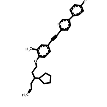 C=CC[C](CCOc1ccc(C#Cc2ccc(-c3ccc(Cl)cc3)cn2)cc1C)C1CCCC1